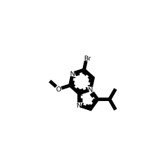 COc1nc(Br)cn2c(C(C)C)cnc12